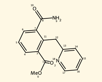 COC(=O)c1cccc(C(N)=O)c1Cc1ccccn1